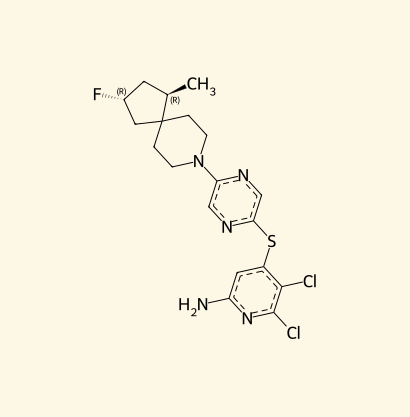 C[C@@H]1C[C@@H](F)CC12CCN(c1cnc(Sc3cc(N)nc(Cl)c3Cl)cn1)CC2